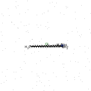 CCCCCCCCCCCCCCCCCCCCCCCCCCCCC[N+](C)(C)C.[Cl-]